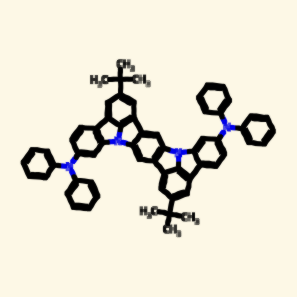 CC(C)(C)c1cc2c3ccc(N(c4ccccc4)c4ccccc4)cc3n3c4cc5c6cc(C(C)(C)C)cc7c8ccc(N(c9ccccc9)c9ccccc9)cc8n(c5cc4c(c1)c23)c76